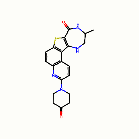 CC1CNc2c(sc3ccc4nc(N5CCC(=O)CC5)ccc4c23)C(=O)N1